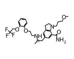 COCCCN1CCc2cc(C[C@@H](C)NCCOc3ccccc3OCC(F)(F)F)cc(C(N)=O)c21